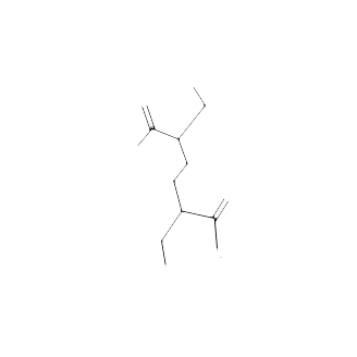 CCC(CCC(CC)C(=O)S)C(=O)S